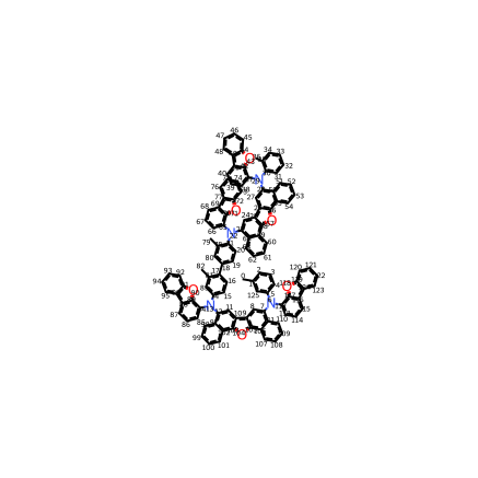 Cc1cccc(N(c2cc3c4cc(N(c5ccc(-c6ccc(N(c7cc8c9cc(N(c%10ccccc%10C)c%10cccc%11c%10oc%10ccccc%10%11)c%10ccccc%10c9oc8c8ccccc78)c7cccc8c7oc7ccccc78)c(C)c6)c(C)c5)c5cccc6c5oc5ccccc56)c5ccccc5c4oc3c3ccccc23)c2cccc3c2oc2ccccc23)c1